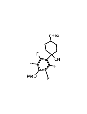 CCCCCCC1CCC(C#N)(c2c(F)c(F)c(OC)c(F)c2F)CC1